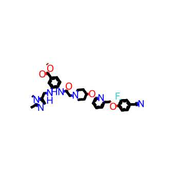 COC(=O)c1ccc(NC(=O)CN2CCC(Oc3cccc(COc4ccc(C#N)cc4F)n3)CC2)c(NCc2cnc(C)n2C)c1